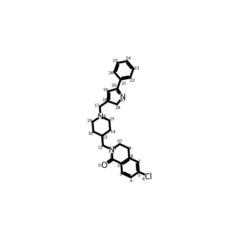 O=C1c2ccc(Cl)cc2CCN1CC1CCN(CC2=CC(c3ccccc3)=NC2)CC1